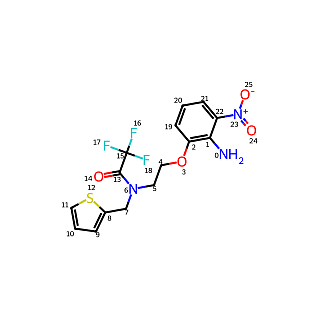 Nc1c(OCCN(Cc2cccs2)C(=O)C(F)(F)F)cccc1[N+](=O)[O-]